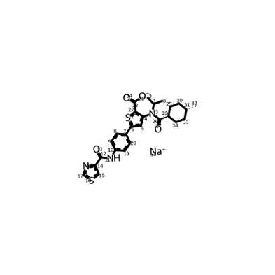 CC(C)N(c1cc(-c2ccc(NC(=O)c3cscn3)cc2)sc1C(=O)[O-])C(=O)[C@H]1CC[C@H](C)CC1.[Na+]